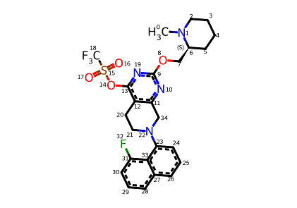 CN1CCCC[C@H]1COc1nc2c(c(OS(=O)(=O)C(F)(F)F)n1)CCN(c1cccc3cccc(F)c13)C2